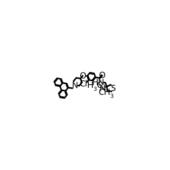 CN(C)C1(CNC(=O)c2ccc(OC3CCN(Cc4cc5ccccc5c5ccccc45)CC3)c(Cl)c2)CCSC1